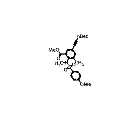 CCCCCCCCCCC#Cc1cc(C)c(N(C)S(=O)(=O)c2ccc(OC)cc2)c(C(=O)OC)c1